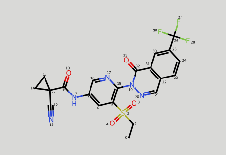 CCS(=O)(=O)c1cc(NC(=O)C2(C#N)CC2)cnc1-n1ncc2ccc(C(F)(F)F)cc2c1=O